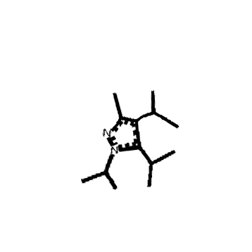 Cc1nn(C(C)C)c(C(C)C)c1C(C)C